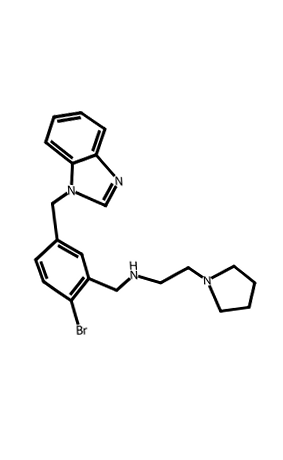 Brc1ccc(Cn2cnc3ccccc32)cc1CNCCN1CCCC1